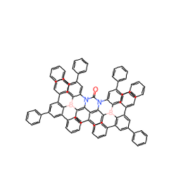 O=C1N2c3cc(-c4ccccc4)c(-c4ccccc4)cc3B(c3c(-c4ccccc4)cc(-c4ccccc4)cc3-c3ccccc3)c3ccc4ccc5c(c4c32)N1c1cc(-c2ccccc2)c(-c2ccccc2)cc1B5c1c(-c2ccccc2)cc(-c2ccccc2)cc1-c1ccccc1